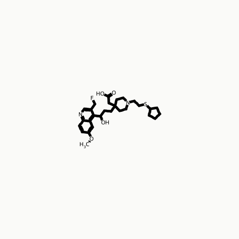 COc1ccc2ncc(CF)c(C(O)CCC3(CC(=O)O)CCN(CCSC4CCCC4)CC3)c2c1